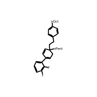 CCCCCCCCc1ccc(CCC2(CCCCC)C=CC(c3cccc(F)c3F)=CC2)cc1